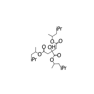 CC(C)CC(C)OC(=O)CC(O)(CC(=O)OC(C)CC(C)C)C(=O)OC(C)CC(C)C